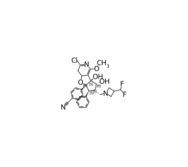 COC1=C2C(CC(Cl)=N1)O[C@@]1(c3ccc(C#N)cc3)[C@H](c3ccccc3)[C@@H](CN3CC(C(F)F)C3)[C@@H](O)[C@@]21O